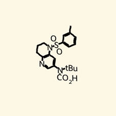 Cc1cccc(S(=O)(=O)N2CCCc3ncc(N(C(=O)O)C(C)(C)C)cc32)c1